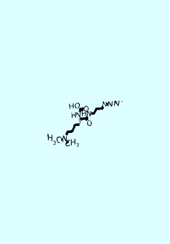 CN(C)CCCC[C@H](NC(=O)O)C(=O)NCCCN=[N+]=[N-]